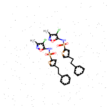 Cc1noc(NS(=O)(=O)c2cc(CCc3ccccc3)cs2)c1Br.Cc1noc(NS(=O)(=O)c2cc(CCc3ccccc3)cs2)c1Br